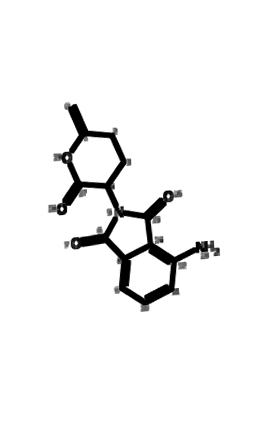 C=C1CCC(N2C(=O)c3cccc(N)c3C2=O)C(=O)O1